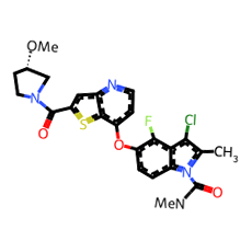 CNC(=O)n1c(C)c(Cl)c2c(F)c(Oc3ccnc4cc(C(=O)N5CC[C@H](OC)C5)sc34)ccc21